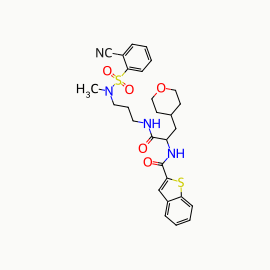 CN(CCCNC(=O)C(CC1CCOCC1)NC(=O)c1cc2ccccc2s1)S(=O)(=O)c1ccccc1C#N